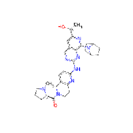 C[C@@H](O)c1cc2cnc(Nc3ccc4c(n3)CCN(C(=O)[C@H]3CCCN3C)C4)nc2c(N2C3CCC2CC3)n1